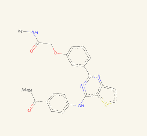 CNC(=O)c1ccc(Nc2nc(-c3cccc(OCC(=O)NC(C)C)c3)nc3ccsc23)cc1